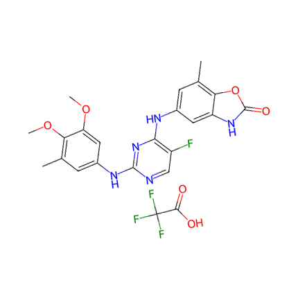 COc1cc(Nc2ncc(F)c(Nc3cc(C)c4oc(=O)[nH]c4c3)n2)cc(C)c1OC.O=C(O)C(F)(F)F